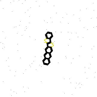 c1ccc2cc3cc4c(cc3cc2c1)sc1c2ccccc2sc41